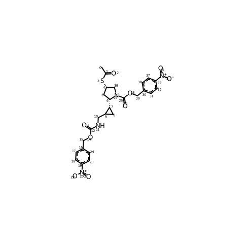 CC(=O)S[C@H]1C[C@@H](C2CC2CNC(=O)OCc2ccc([N+](=O)[O-])cc2)N(C(=O)OCc2ccc([N+](=O)[O-])cc2)C1